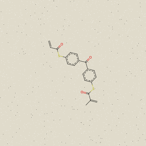 C=CC(=O)Sc1ccc(C(=O)c2ccc(SC(=O)C(=C)C)cc2)cc1